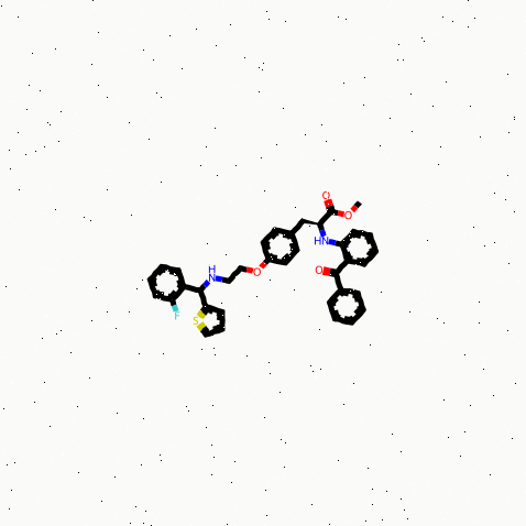 COC(=O)[C@H](Cc1ccc(OCCNC(c2cccs2)c2ccccc2F)cc1)Nc1ccccc1C(=O)c1ccccc1